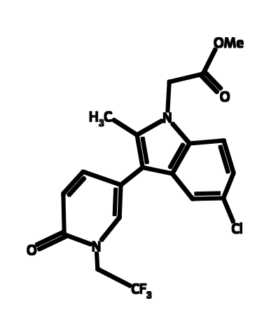 COC(=O)Cn1c(C)c(-c2ccc(=O)n(CC(F)(F)F)c2)c2cc(Cl)ccc21